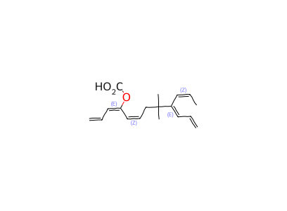 C=C/C=C(\C=C/CC(C)(C)C(/C=C\C)=C/C=C)OC(=O)O